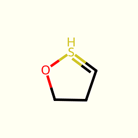 C1=[SH]OCC1